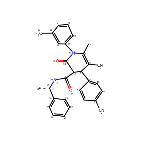 CC1=C(C#N)C(c2ccc(C#N)cc2)C(C(=O)N[C@@H](C)c2ccccc2)C(=O)N1c1cccc(C(F)(F)F)c1